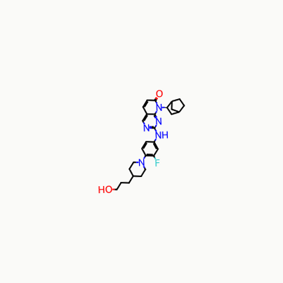 O=c1ccc2cnc(Nc3ccc(N4CCC(CCCO)CC4)c(F)c3)nc2n1[C@@H]1CC2CCC1C2